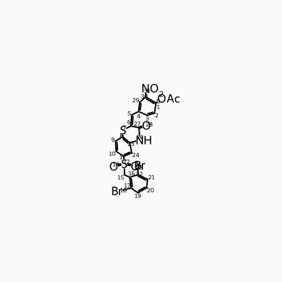 CC(=O)Oc1ccc(/C=C2/Sc3ccc(S(=O)(=O)Cc4c(Br)cccc4Br)cc3NC2=O)cc1[N+](=O)[O-]